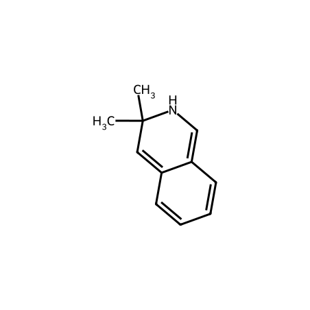 CC1(C)C=c2ccccc2=CN1